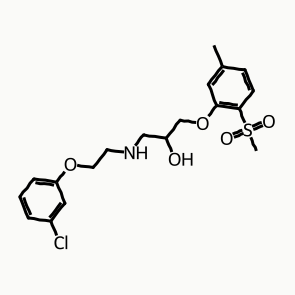 Cc1ccc(S(C)(=O)=O)c(OCC(O)CNCCOc2cccc(Cl)c2)c1